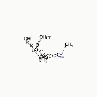 CCCCCCCC/C=C\CCCCCCCCOCC(C[N+](C)(C)CCCCCC(OCCOCCOCCO)OCCOCCOCCO)OCCCCCCCC/C=C\CCCCCCCC.[Cl-]